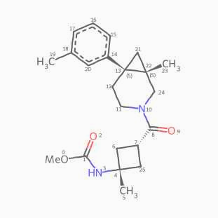 COC(=O)N[C@]1(C)C[C@H](C(=O)N2CC[C@]3(c4cccc(C)c4)C[C@]3(C)C2)C1